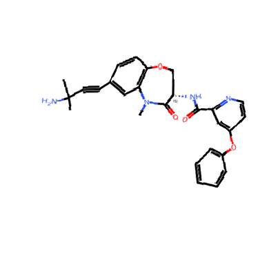 CN1C(=O)[C@@H](NC(=O)c2cc(Oc3ccccc3)ccn2)COc2ccc(C#CC(C)(C)N)cc21